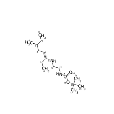 CC/C(=C\C[C@@H](C)CC)NCCNC(=O)OC(C)(C)C